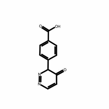 O=C(O)c1ccc(C2N=NC=CC2=O)cc1